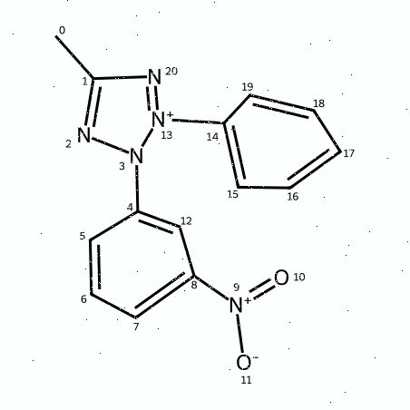 Cc1nn(-c2cccc([N+](=O)[O-])c2)[n+](-c2ccccc2)n1